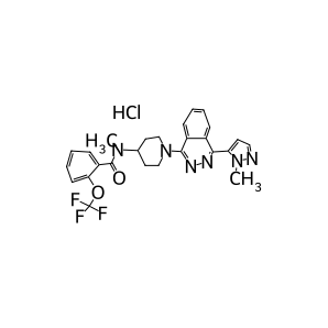 CN(C(=O)c1ccccc1OC(F)(F)F)C1CCN(c2nnc(-c3ccnn3C)c3ccccc23)CC1.Cl